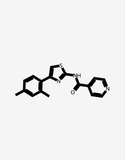 Cc1ccc(-c2csc(NC(=O)c3ccncc3)n2)c(C)c1